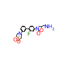 NCC1CN(c2ccc(-c3cccc(N4CCS(=O)(=O)CC4)c3)c(F)c2)C(=O)O1